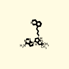 CC1(C)C[C@@H]2[C@H](O1)[C@@H](CCCCc1cccc3ccncc13)C[C@H]2n1ccc2c(N)ncnc21